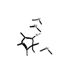 CC1=C(C)C(C)(C)[C]([Ti+3])=C1C.C[N-]C.C[N-]C.C[N-]C